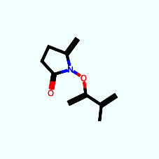 C=C(C)C(=C)ON1C(=C)CCC1=O